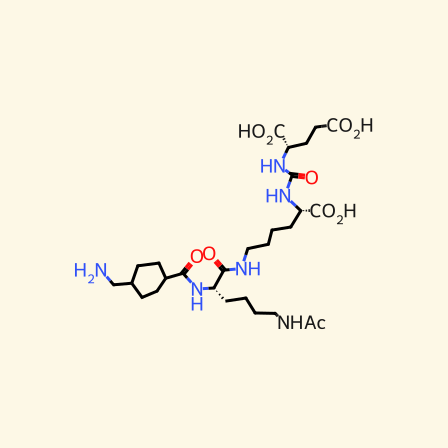 CC(=O)NCCCC[C@H](NC(=O)C1CCC(CN)CC1)C(=O)NCCCC[C@H](NC(=O)N[C@@H](CCC(=O)O)C(=O)O)C(=O)O